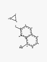 C1CO1.Cc1ccc2cccc(O)c2n1